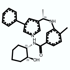 Cc1ccc(C(=O)N[C@H]2CCCC[C@@H]2O)cc1N[C@@H](C)c1cncc(-c2ccccc2)c1